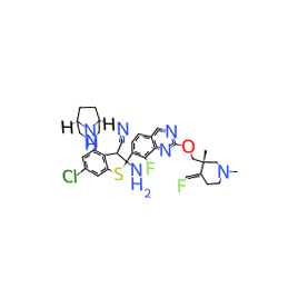 CN1CC/C(=C\F)[C@](C)(COc2ncc3ccc(C4(N)Sc5cc(Cl)cc(N6C[C@H]7CC[C@@H](C6)N7)c5C4C#N)c(F)c3n2)C1